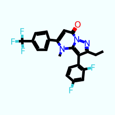 CCc1nn2c(=O)cc(-c3ccc(C(F)(F)F)cc3)n(C)c2c1-c1ccc(F)cc1F